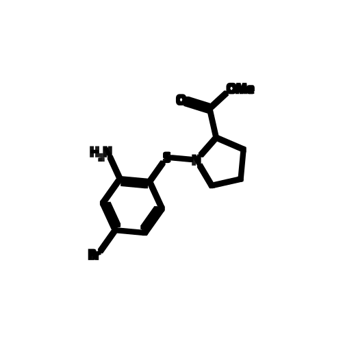 COC(=O)C1CCCN1Sc1ccc(Br)cc1N